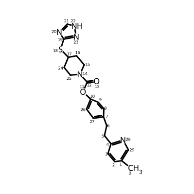 Cc1ccc(CCc2ccc(OC(=O)N3CCC(Sc4nc[nH]n4)CC3)cc2)nc1